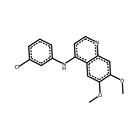 COc1cc2nccc(Nc3cccc(Cl)c3)c2cc1OC